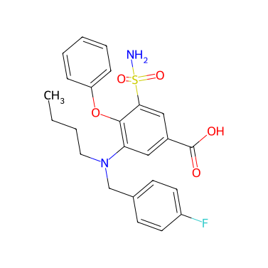 CCCCN(Cc1ccc(F)cc1)c1cc(C(=O)O)cc(S(N)(=O)=O)c1Oc1ccccc1